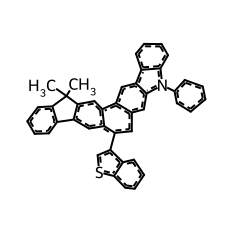 CC1(C)c2ccccc2-c2cc3c(-c4csc5ccccc45)cc4cc5c(cc4c3cc21)c1ccccc1n5-c1ccccc1